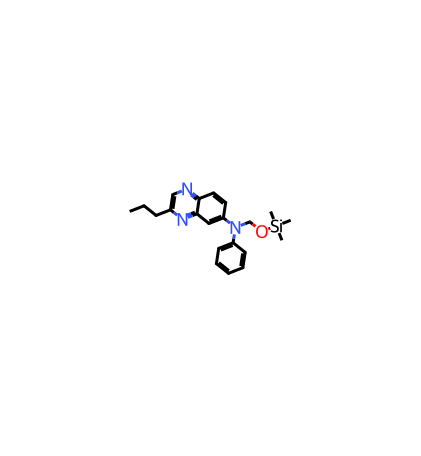 CCCc1cnc2ccc(N(CO[Si](C)(C)C)c3ccccc3)cc2n1